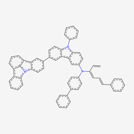 C=C/C(=C\C=C\c1ccccc1)N(c1ccc(-c2ccccc2)cc1)c1ccc2c(c1)c1cc(-c3ccc4c(c3)c3cccc5c6ccccc6n4c53)ccc1n2-c1ccccc1